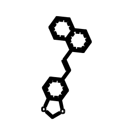 C(=Cc1cccc2ccccc12)c1ccc2c(c1)OCO2